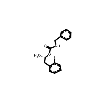 C[C@@H](Cc1ccccc1I)OC(=O)NCc1ccccc1